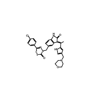 CC(=C1C(=O)Nc2ccc(CN3N=C(c4ccc(Cl)cc4)CSC3=O)cc21)c1cc(CN2CCOCC2)c[nH]1